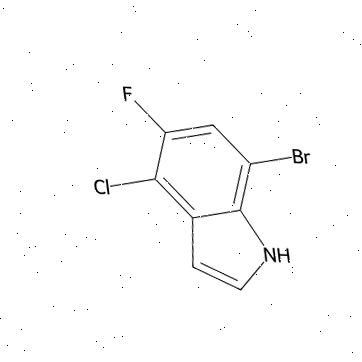 Fc1cc(Br)c2[nH]ccc2c1Cl